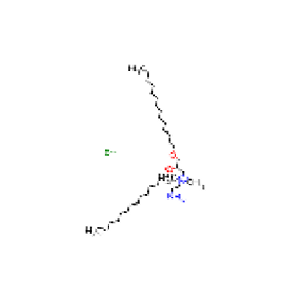 CCCCCCCCCCCCCCOCC(C[N+](C)(C)CCN)OCCCCCCCCCCCCCC.[Br-]